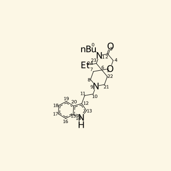 CCCCN1C(=O)COC2(CCN(CCc3c[nH]c4ccccc34)CC2)C1CC